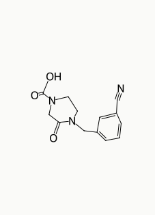 N#Cc1cccc(CN2CCN(C(=O)O)CC2=O)c1